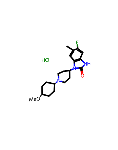 CO[C@H]1CC[C@@H](N2CCC(n3c(=O)[nH]c4cc(F)c(C)cc43)CC2)CC1.Cl